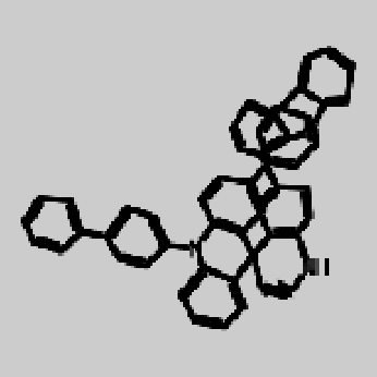 c1ccc(-c2ccc(N3c4ccccc4C4(c5ccccc5Nc5ccc(-c6cccc7c6oc6ccccc67)cc54)c4cc(-c5ccccc5)ccc43)cc2)cc1